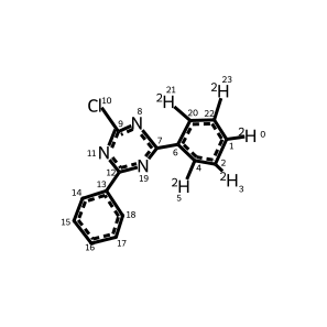 [2H]c1c([2H])c([2H])c(-c2nc(Cl)nc(-c3ccccc3)n2)c([2H])c1[2H]